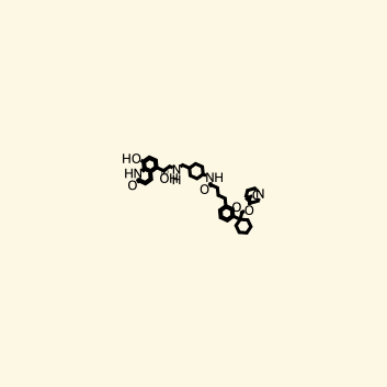 O=C(CCCc1cccc(C2(C(=O)OC3CN4CCC3CC4)CCCCC2)c1)NC1CCC(CNC[C@H](O)c2ccc(O)c3[nH]c(=O)ccc23)CC1